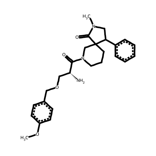 COc1ccc(COC[C@@H](N)C(=O)N2CCCC3(C2)C(=O)N(C)CC3c2ccccc2)cc1